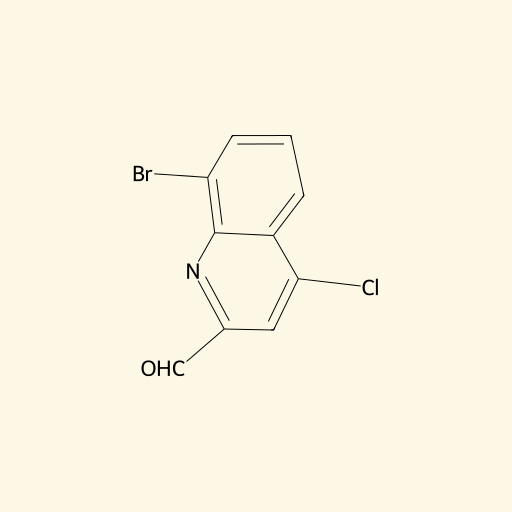 O=Cc1cc(Cl)c2cccc(Br)c2n1